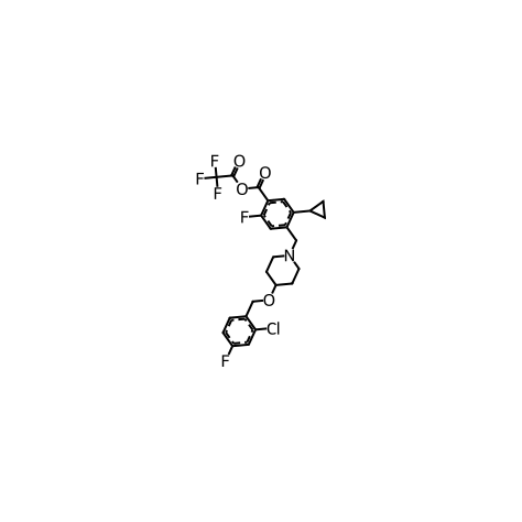 O=C(OC(=O)C(F)(F)F)c1cc(C2CC2)c(CN2CCC(OCc3ccc(F)cc3Cl)CC2)cc1F